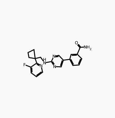 NC(=O)c1cccc(-c2cnc(NCC3(c4ncccc4F)CCC3)nc2)c1